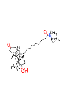 CN(C)C(=O)CCCCCCCCC[C@@H]1C[C@H]2CC(=O)CC[C@]2(C)[C@H]2CC[C@]3(C)[C@@H](O)CC[C@H]3[C@H]12